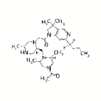 CCCC(F)(F)c1cc2c(cn1)C(C)(C)CN2C(=O)CN1CC(C)NC[C@@H]1CN1C(C)CN(C(C)=O)C[C@H]1C